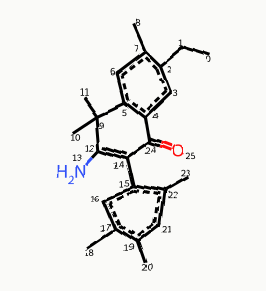 CCc1cc2c(cc1C)C(C)(C)C(N)=C(c1cc(C)c(C)cc1C)C2=O